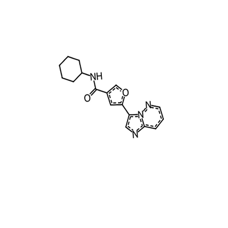 O=C(NC1CCCCC1)c1coc(-c2cnc3cccnn23)c1